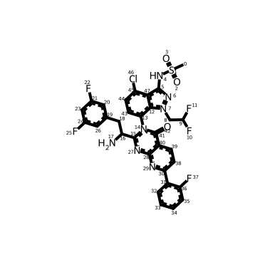 CS(=O)(=O)Nc1nn(CC(F)F)c2c(-n3c(C(N)Cc4cc(F)cc(F)c4)nc4nc(-c5ccccc5F)ccc4c3=O)ccc(Cl)c12